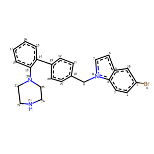 Brc1ccc2c(ccn2Cc2ccc(-c3ccccc3N3CCNCC3)cc2)c1